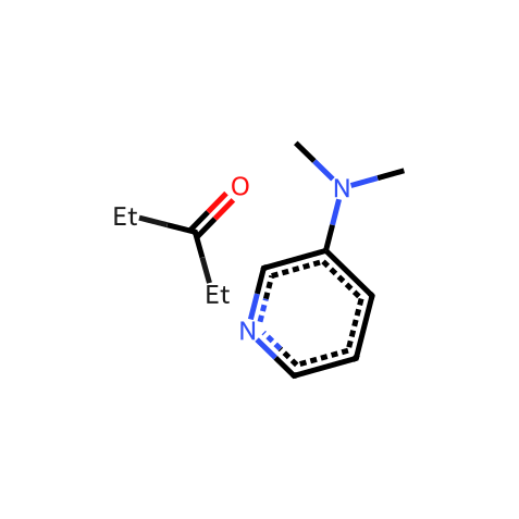 CCC(=O)CC.CN(C)c1cccnc1